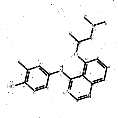 Cc1cc(Nc2ncnc3cccc(OC(C)CN(C)C)c23)ccc1O